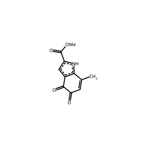 COC(=O)c1cc2c([nH]1)C(C)=CC(=O)C2=O